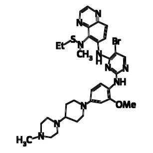 CCSN(C)c1c(Nc2nc(Nc3ccc(N4CCC(N5CCN(C)CC5)CC4)cc3OC)ncc2Br)ccc2nccnc12